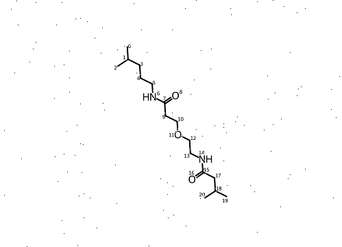 CC(C)CCCNC(=O)CCOCCNC(=O)CC(C)C